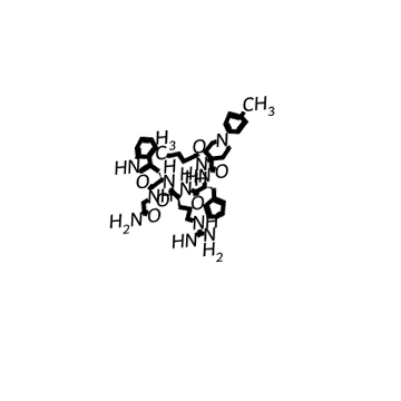 CCCCC(=O)NC1(C(=O)N[C@H](Cc2ccccc2)C(=O)N[C@@H](CCCNC(=N)N)C(=O)N[C@@H](Cc2c[nH]c3ccccc23)C(=O)NCC(N)=O)CCN(c2ccc(C)cc2)CC1